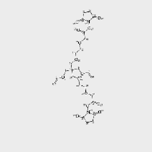 C=COCC(COC=C)(COCCOCC(=O)ON1C(=O)CCC1=O)COCCOCC(=O)ON1C(=O)CCC1=O